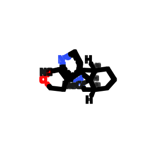 CO[C@]1(c2ccnc(C#N)c2)[C@@H]2CCC[C@H]1CN(C1CCOCC1)C2